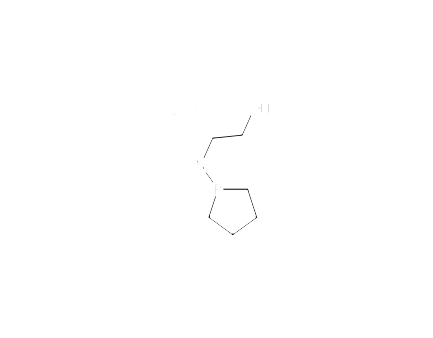 O=C(O)[C@H](CO)NP1CCCC1